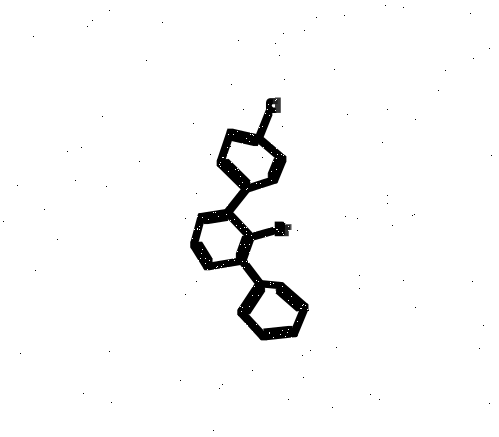 Clc1ccc(-c2cccc(-c3ccccc3)c2Br)cc1